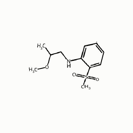 COC(C)CNc1c[c]ccc1S(C)(=O)=O